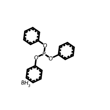 B.c1ccc(OP(Oc2ccccc2)Oc2ccccc2)cc1